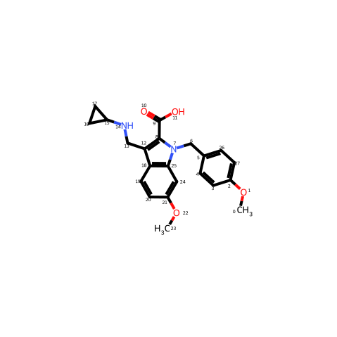 COc1ccc(Cn2c(C(=O)O)c(CNC3CC3)c3ccc(OC)cc32)cc1